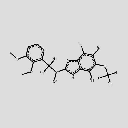 [2H]c1c(OC([2H])(F)F)c([2H])c2[nH]c([S+]([O-])C([2H])([2H])c3nccc(OC)c3OC)nc2c1[2H]